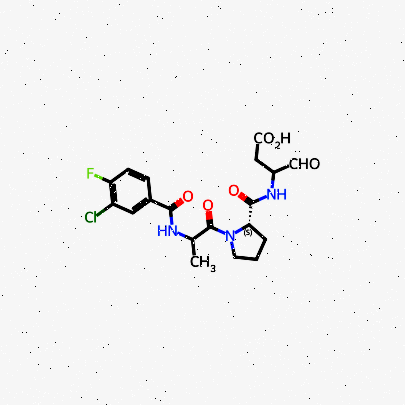 CC(NC(=O)c1ccc(F)c(Cl)c1)C(=O)N1CCC[C@H]1C(=O)NC(C=O)CC(=O)O